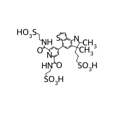 CC1=Nc2c(cc(-c3cc(C(=O)NCCS(=O)(=O)O)nc(C(=O)NCCS(=O)(=O)O)c3)c3sccc23)C1(C)CCCS(=O)(=O)O